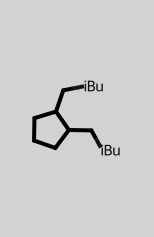 CCC(C)C[C]1CCCC1CC(C)CC